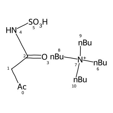 CC(=O)CC(=O)NS(=O)(=O)O.CCCC[N+](CCCC)(CCCC)CCCC